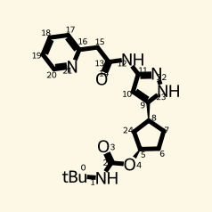 CC(C)(C)NC(=O)O[C@@H]1CC[C@H](c2cc(NC(=O)Cc3ccccn3)n[nH]2)C1